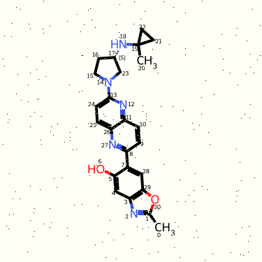 Cc1nc2cc(O)c(-c3ccc4nc(N5CC[C@H](NC6(C)CC6)C5)ccc4n3)cc2o1